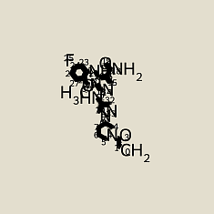 C=CC(=O)N1CCC[C@@H](n2cc(Nc3ncc(C(N)=O)c(Nc4cc(F)ccc4OC)n3)cn2)C1